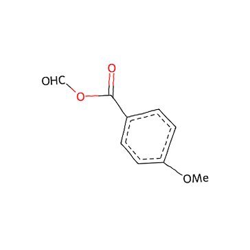 COc1ccc(C(=O)OC=O)cc1